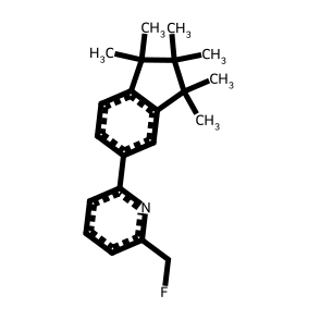 CC1(C)c2ccc(-c3cccc(CF)n3)cc2C(C)(C)C1(C)C